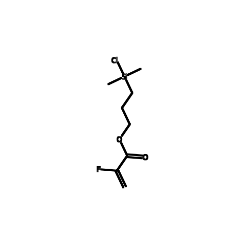 C=C(F)C(=O)OCCC[Si](C)(C)Cl